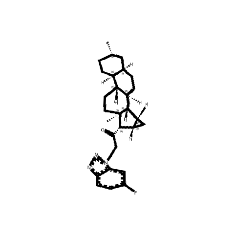 C[C@H]1CC[C@H]2[C@H](CC[C@@H]3[C@@H]2CC[C@@]2(C)[C@H]3[C@@H]3C[C@@H]3[C@@H]2C(=O)Cn2nnc3ccc(F)cc32)C1